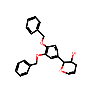 OC1CC=COC1c1ccc(OCc2ccccc2)c(OCc2ccccc2)c1